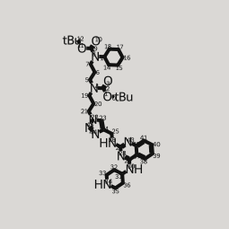 CC(C)(C)OC(=O)N(CCCN(C(=O)OC(C)(C)C)C1CCCCC1)CCCn1cc(CNc2nc(NC3CCNCC3)c3ccccc3n2)nn1